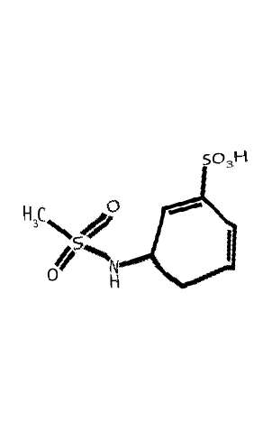 CS(=O)(=O)NC1C=C(S(=O)(=O)O)C=CC1